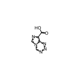 O=C(O)c1ncn2cnnnc12